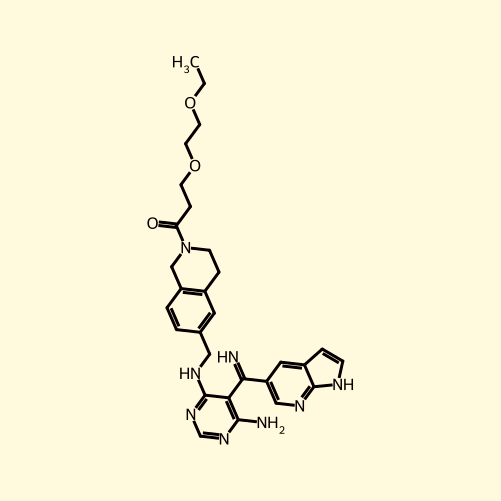 CCOCCOCCC(=O)N1CCc2cc(CNc3ncnc(N)c3C(=N)c3cnc4[nH]ccc4c3)ccc2C1